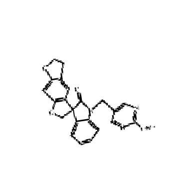 COc1ncc(CN2C(=O)C3(COc4cc5c(cc43)CCO5)c3ccccc32)cn1